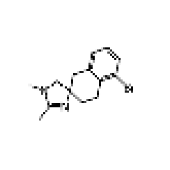 CC1=NC2(CCc3c(Br)cccc3C2)CN1C